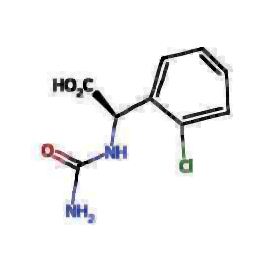 NC(=O)N[C@@H](C(=O)O)c1ccccc1Cl